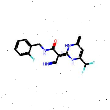 C=C1C=C(C(F)F)N/C(=C(\C=N)C(=O)NCc2ccccc2F)N1